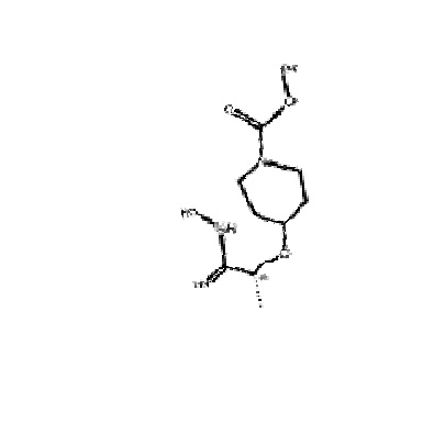 CC(C)OC(=O)N1CCC(O[C@H](C)C(=N)NO)CC1